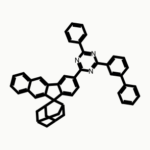 c1ccc(-c2cccc(-c3nc(-c4ccccc4)nc(-c4ccc5c(c4)-c4cc6ccccc6cc4C54C5CC6CC(C5)CC4C6)n3)c2)cc1